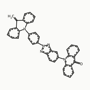 C=C1c2ccccc2N(c2ccc(-n3nc4ccc(-n5c6ccccc6c(=O)c6ccccc65)cc4n3)cc2)c2ccccc21